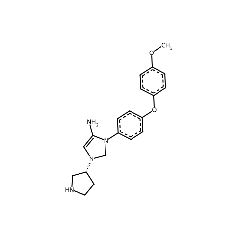 COc1ccc(Oc2ccc(N3CN([C@@H]4CCNC4)C=C3N)cc2)cc1